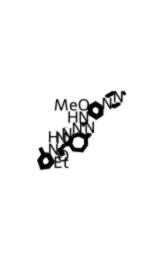 CCc1cccc(C)c1NC(=O)c1nn(C)c2c1CCCc1cnc(Nc3ccc(N4CCN(C)CC4)cc3OC)nc1-2